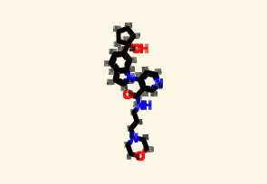 O=C(NCCCN1CCOCC1)c1cnccc1-n1ccc2ccc(C3(O)CCCC3)cc21